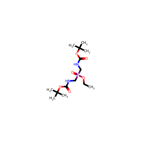 CCOP(=O)(CNC(=O)OC(C)(C)C)CNC(=O)OC(C)(C)C